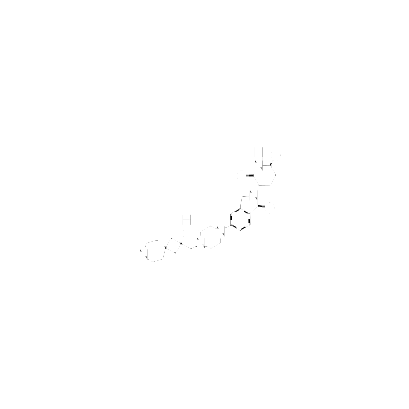 CC1(CN2CCN(c3ccc4c(c3)CN([C@H]3CCC(=O)NC3=O)C4=O)CC2)CC2(CCNCC2)C1